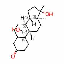 CC1(O)CC[C@H]2[C@@H]3CCC4CC(=O)CC[C@]4(CO)[C@@H]3CC[C@@]21C